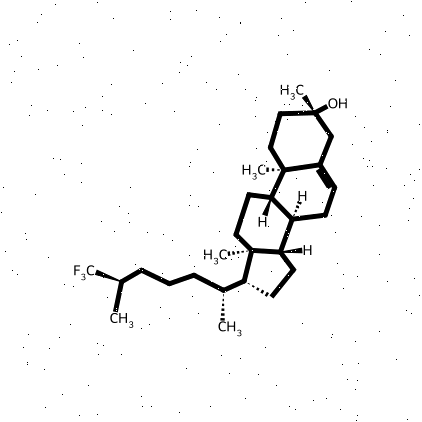 C[C@H](CCC[C@@H](C)C(F)(F)F)[C@H]1CC[C@H]2[C@@H]3CC=C4C[C@@](C)(O)CC[C@]4(C)[C@H]3CC[C@]12C